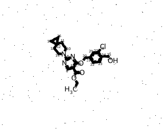 CCOC(=O)c1cnc(N2CCC3(CC2)CC3)nc1OCc1ccc(CO)c(Cl)c1